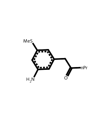 CCCC(=O)Cc1cc(N)cc(SC)c1